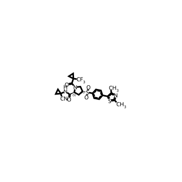 Cc1nc(C)c(-c2ccc(S(=O)(=O)[C@@H]3C[C@@H](C(=O)NC4(C#N)CC4)N(C(=O)C4(C(F)(F)F)CC4)C3)cc2)s1